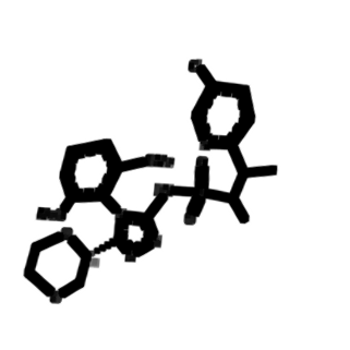 COc1cccc(OC)c1-n1c(NS(=O)(=O)C(C)C(C)c2ccc(Cl)cn2)nnc1[C@@H]1COCCO1